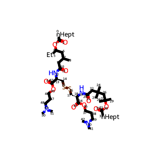 CCCCCCCC(=O)OC(CC)CC(C)CC(=O)N[C@@H](CSSC[C@H](NC(=O)CC(C)(C)CC(C)(C)OC(=O)CCCCCCC)C(=O)OCCCN(C)C)C(=O)OCCCN(C)C